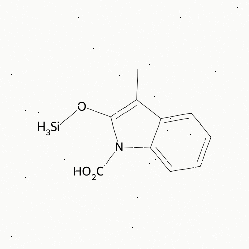 Cc1c(O[SiH3])n(C(=O)O)c2ccccc12